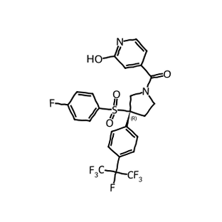 O=C(c1ccnc(O)c1)N1CC[C@](c2ccc(C(F)(C(F)(F)F)C(F)(F)F)cc2)(S(=O)(=O)c2ccc(F)cc2)C1